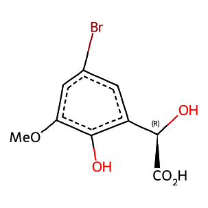 COc1cc(Br)cc([C@@H](O)C(=O)O)c1O